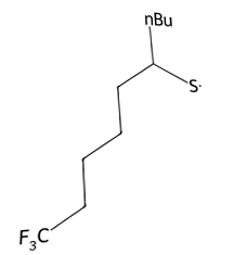 CCCCC([S])CCCCC(F)(F)F